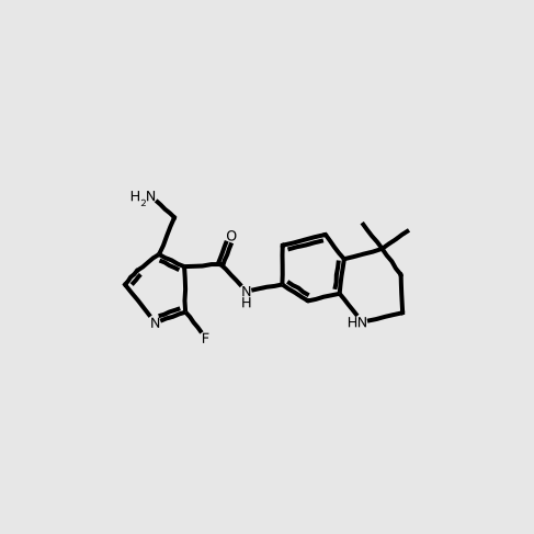 CC1(C)CCNc2cc(NC(=O)c3c(CN)ccnc3F)ccc21